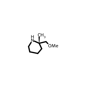 COC[C@]1(C)CCCCN1